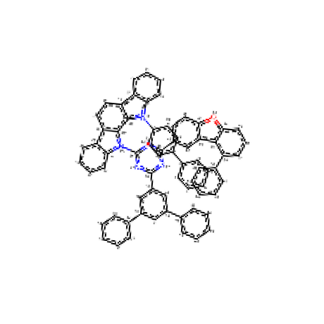 c1ccc(-c2ccc(-n3c4ccccc4c4ccc5c6ccccc6n(-c6nc(-c7cc(-c8ccccc8)cc(-c8ccccc8)c7)nc(-c7ccc8oc9cccc(-c%10ccccc%10)c9c8c7)n6)c5c43)cc2)cc1